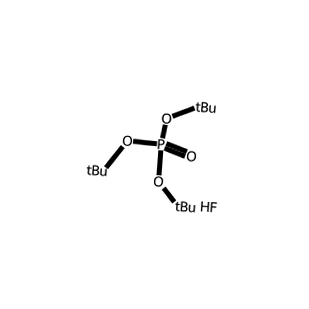 CC(C)(C)OP(=O)(OC(C)(C)C)OC(C)(C)C.F